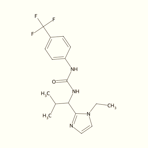 CCn1ccnc1C(NC(=O)Nc1ccc(C(F)(F)F)cc1)C(C)C